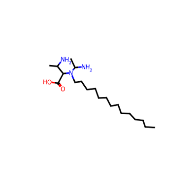 CCCCCCCCCCCCCCN(C(C)N)C(C(=O)O)C(C)N